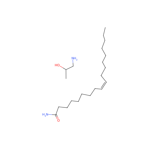 CC(O)CN.CCCCCCCC/C=C\CCCCCCCC(N)=O